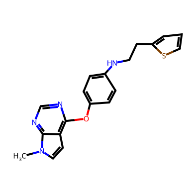 Cn1ccc2c(Oc3ccc(NCCc4cccs4)cc3)ncnc21